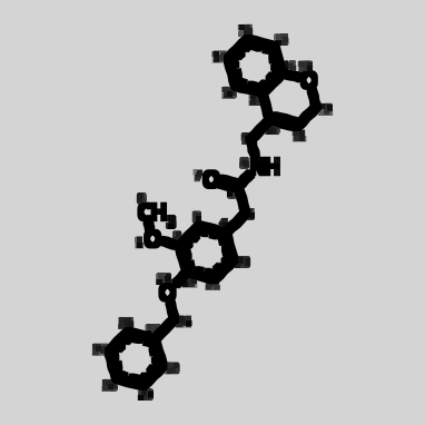 COc1cc(CC(=O)NCC2=CCOc3ccccc32)ccc1OCc1ccccc1